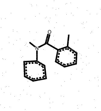 Cc1ccccc1C(=O)N(C)c1ccccc1